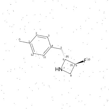 Cc1ccc(C[C@H]2NC[C@@H]2F)cc1